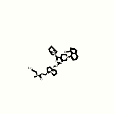 CCc1cccc2cccc(N3CCc4c(nc(OC[C@]56CCCN5[C@@H](COC(=O)N(C)CCO)CC6)nc4N4CC5CCC(C4)N5)C3)c12